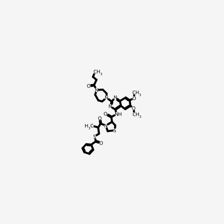 CCCC(=O)N1CCCN(c2nc(NC(=O)C3CSCN3C(=O)C(C)CSC(=O)c3ccccc3)c3cc(OC)c(OC)cc3n2)CC1